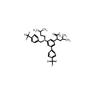 CC(=O)C(CC(C)C)c1cc(-c2ccc(C(F)(F)F)cc2)cc(N(CCC(C)C)Cc2ccc(C(F)(F)F)cc2)c1